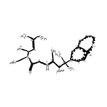 CCCCN(C(=O)CNC(O)[C@@H](NC)C(C)(C)c1ccc2ccccc2c1)C(/C=C(\C)C(=O)O)C(C)C